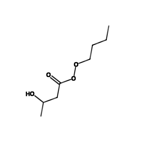 CCCCOOC(=O)CC(C)O